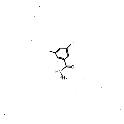 [2H]NC(=O)c1cc(C)cc(C)c1